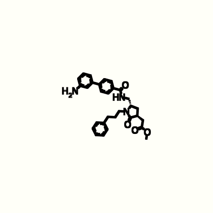 COC(=O)C[C@@H]1C[C@@H](CNC(=O)c2ccc(-c3cccc(N)c3)cc2)N(CCCc2ccccc2)C1=O